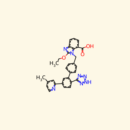 CCOc1nc2cccc(C(=O)O)c2n1Cc1ccc(-c2cc(-c3cc(C)ccn3)ccc2-c2nn[nH]n2)cc1